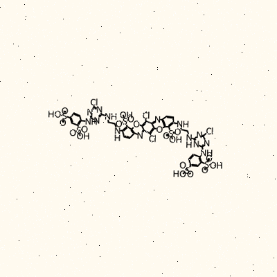 O=S(=O)(O)c1ccc(Nc2nc(Cl)nc(NCCNc3ccc4c(c3S(=O)(=O)O)Oc3c(Cl)c5c(c(Cl)c3=N4)Oc3c(ccc(NCCNc4nc(Cl)nc(Nc6ccc(S(=O)(=O)O)cc6S(=O)(=O)O)n4)c3S(=O)(=O)O)N=5)n2)c(S(=O)(=O)O)c1